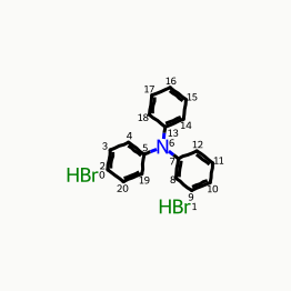 Br.Br.c1ccc(N(c2ccccc2)c2ccccc2)cc1